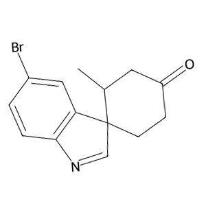 CC1CC(=O)CCC12C=Nc1ccc(Br)cc12